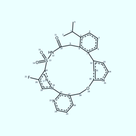 CC(C)c1cccc2c1CC(=O)NS(=O)(=O)c1nn(cc1F)-c1ncccc1COc1cc-2ccn1